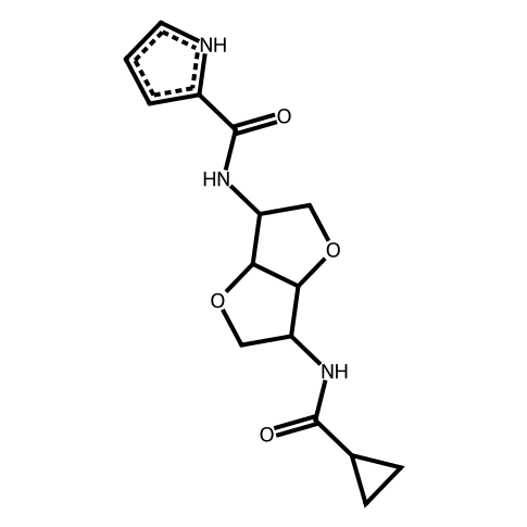 O=C(NC1COC2C(NC(=O)C3CC3)COC12)c1ccc[nH]1